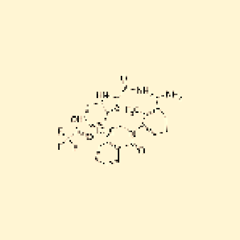 NC(=O)C1NC2C=CC=CC2S1.NCc1cccc(N(CC(=O)O)C(=O)c2ccccc2)c1C(F)(F)F.O=C(O)C(F)(F)F